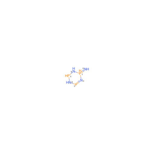 N=[PH]1N=PNPN1